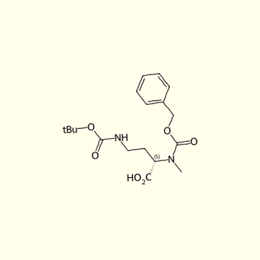 CN(C(=O)OCc1ccccc1)[C@@H](CCNC(=O)OC(C)(C)C)C(=O)O